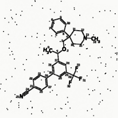 CC(OCC1(c2ccccc2)CCN(C)CC1)c1cc(-c2ccc(C#N)cc2)cc(C(F)(F)F)c1